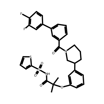 CC(C)(Oc1cccc(C2CCCN(C(=O)c3cccc(-c4ccc(F)c(F)c4)c3)C2)c1)C(=O)NS(=O)(=O)c1cccs1